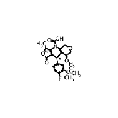 C[C@@H]1OC(=O)C2=C1N(C(=O)O)C1=C(C(=O)COC1)[C@H]2c1ccc(F)[c]([Sn]([CH3])([CH3])[CH3])c1